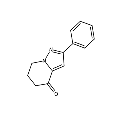 O=C1CCCn2nc(-c3ccccc3)cc21